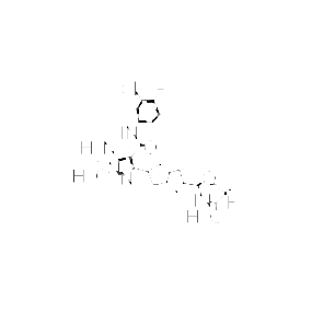 CC(NC(=O)C1CC2CC(c3nn(C)c(N)c3C(=O)Nc3ccc(F)c(Cl)c3)CC2C1)C(F)(F)F